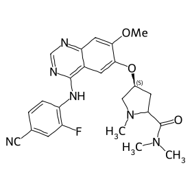 COc1cc2ncnc(Nc3ccc(C#N)cc3F)c2cc1O[C@H]1CC(C(=O)N(C)C)N(C)C1